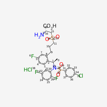 C[C@H](c1ccc(F)cc1CCCS(=O)(=O)C[C@H](N)C(=O)O)N(c1cc(F)ccc1F)S(=O)(=O)c1ccc(Cl)cc1.Cl